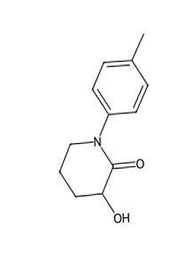 Cc1ccc(N2CCCC(O)C2=O)cc1